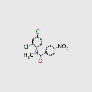 CN(C(=O)c1ccc([N+](=O)[O-])cc1)c1ccc(Cl)cc1Cl